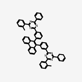 Cc1ccccc1-c1nc(C2=CC=CCC2)nc(-c2cccc(-c3c(-c4cccc(-c5nc(-c6ccccc6)nc(-c6ccccc6C)n5)c4)c4ccccc4c4ccccc34)c2)n1